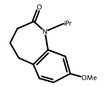 COc1ccc2c(c1)N(C(C)C)C(=O)CCC2